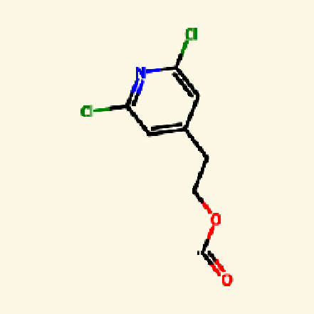 O=[C]OCCc1cc(Cl)nc(Cl)c1